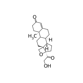 C[C@]12CCC(=O)C=C1CC[C@@H]1C2CC[C@]23CO[C@]2(C(=O)CO)CC[C@@H]13